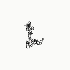 Cc1nn(C)c(C)c1-c1c(Cl)ccc2c(CCCOc3cccc4cc(F)ccc34)c(C(=O)O)n(CCN3CCN(CC4CN(c5cc6c(cc5F)C(=O)N(C5CCC(=O)NC5=O)C6=O)C4)CC3)c12